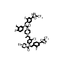 CCN1CCN(C(=O)N(Cc2ccc(-c3nnc(C(F)(F)F)o3)cc2F)c2ccc(CC(C)N3CCN(C(=O)N(Cc4ccc(-c5nnc(C(F)(F)F)o5)cc4F)c4ccc(F)c(I)c4)CC3)c(Cl)c2)CC1